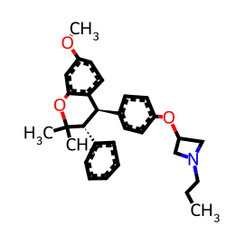 CCCN1CC(Oc2ccc([C@@H]3c4ccc(OC)cc4OC(C)(C)[C@H]3c3ccccc3)cc2)C1